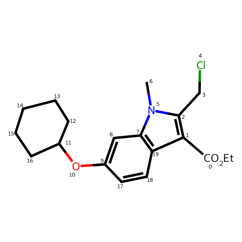 CCOC(=O)c1c(CCl)n(C)c2cc(OC3CCCCC3)ccc12